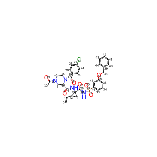 C=C[C@@H]1C[C@]1(NC(=O)[C@@H]1CN(C(C)=O)CCN1C(=O)c1ccc(Cl)cc1)C(=O)NS(=O)(=O)c1cccc(OCc2ccccc2)c1